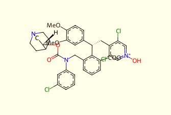 COc1ccc([C@H](Cc2c(Cl)c[n+](O)cc2Cl)c2c(CN(C(=O)O[C@H]3CN4CCC3CC4)c3cccc(Cl)c3)cccc2C(=O)[O-])cc1OC